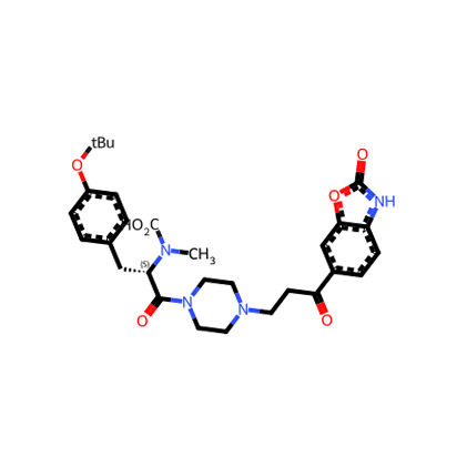 CN(C(=O)O)[C@@H](Cc1ccc(OC(C)(C)C)cc1)C(=O)N1CCN(CCC(=O)c2ccc3[nH]c(=O)oc3c2)CC1